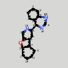 c1ccc2c(-c3cc4c(cn3)oc3ccccc34)ncnc2c1